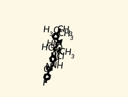 CC(=O)N[C@@H](Cc1ccc(Nc2cc(-c3ccc(F)cc3)on2)cc1)[C@@H](O)CNC1(c2cccc(C(C)(C)C)c2)CC1.Cl